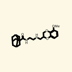 COc1cccc2c1OCC(CNCCNC(=O)C13CC4CC(CC(C4)C1)C3)O2